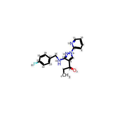 CCC(=O)c1cn(-c2ccccn2)nc1NCc1ccc(F)cc1